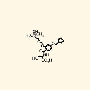 C[Si](C)(C)CCOCOc1cc(OCc2ccsc2)ccc1C(=O)NC(CO)C(=O)O